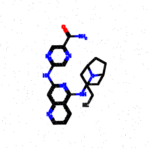 N#CCCN1C2CCC1CC(Nc1nc(Nc3cnc(C(N)=O)cn3)cc3ncccc13)C2